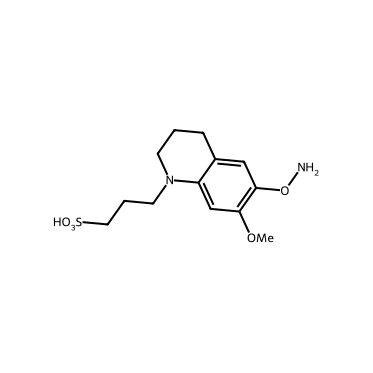 COc1cc2c(cc1ON)CCCN2CCCS(=O)(=O)O